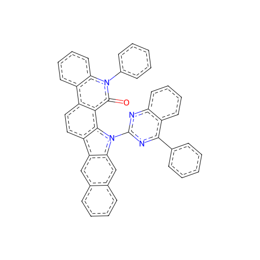 O=c1c2c(ccc3c4cc5ccccc5cc4n(-c4nc(-c5ccccc5)c5ccccc5n4)c32)c2ccccc2n1-c1ccccc1